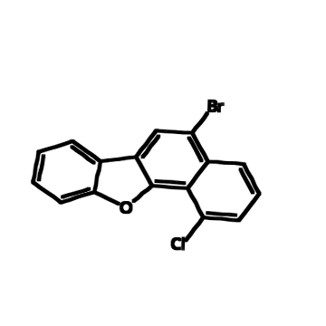 Clc1cccc2c(Br)cc3c4ccccc4oc3c12